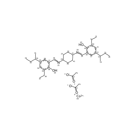 CC(=O)[O-].CC(=O)[O-].CCc1cc(C(C)CC)cc(C=NC2CCC(N=Cc3cc(C(C)CC)cc(CC)c3O)CC2)c1O.[Co+2]